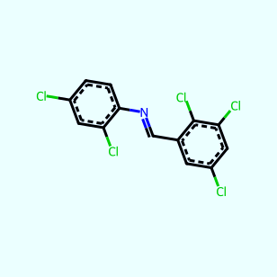 Clc1ccc(/N=C/c2cc(Cl)cc(Cl)c2Cl)c(Cl)c1